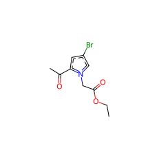 CCOC(=O)Cn1cc(Br)cc1C(C)=O